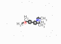 C=C(OCC)c1ccc(-c2ccc(C(C)C)c(-n3ccc(C)n3)c2)cc1